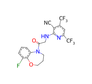 N#Cc1c(C(F)(F)F)cc(C(F)(F)F)nc1NCC(=O)N1CCCOc2c(F)cccc21